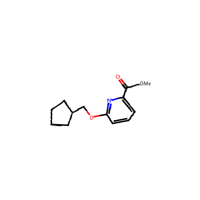 COC(=O)c1cccc(OCC2CCCC2)n1